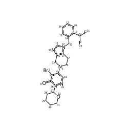 O=c1c(Br)c(N2CCc3c(ncn3Cc3ccccc3C(F)F)C2)cnn1C1CCCCO1